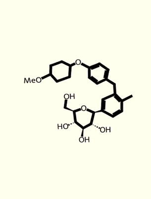 COC1CCC(Oc2ccc(Cc3cc([C@@H]4O[C@H](CO)[C@@H](O)[C@H](O)[C@H]4O)ccc3C)cc2)CC1